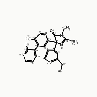 CN1C(=O)C(c2ccnc(CF)c2)(c2ccc(O)c(-c3cccnc3F)c2)N=C1N